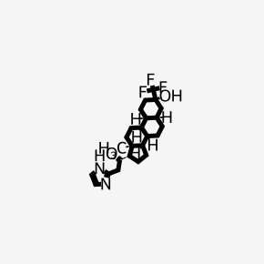 C[C@]12CC[C@H]3[C@@H](CC[C@@H]4C[C@@](O)(C(F)(F)F)CC[C@@H]43)[C@@H]1CC[C@@H]2C(=O)Cc1ncc[nH]1